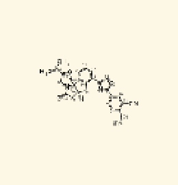 CC(C)Oc1ccc(-c2nc(-c3cccc4c3C[C@@H]3CC(=O)N(CC(=O)N(C)C)[C@H]43)no2)cc1C#N